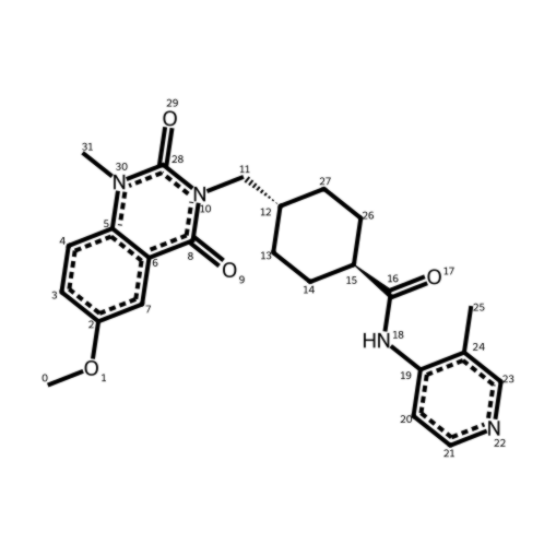 COc1ccc2c(c1)c(=O)n(C[C@H]1CC[C@H](C(=O)Nc3ccncc3C)CC1)c(=O)n2C